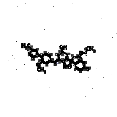 CCOC(=O)C[C@@]1(c2ccc(F)cc2)ON=C2/C(=C/c3ccc(-n4cnc(C)c4)c(OC)c3)C[C@@H](O)CN21